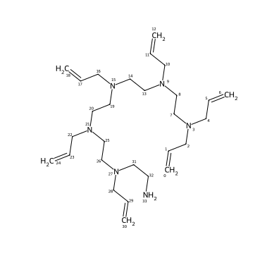 C=CCN(CC=C)CCN(CC=C)CCN(CC=C)CCN(CC=C)CCN(CC=C)CCN